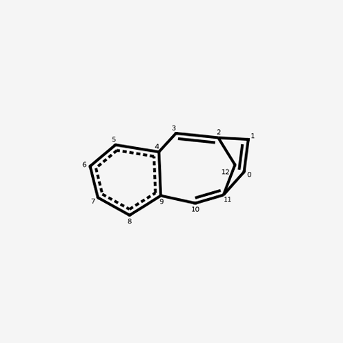 C1=CC2=Cc3ccccc3C=C1C2